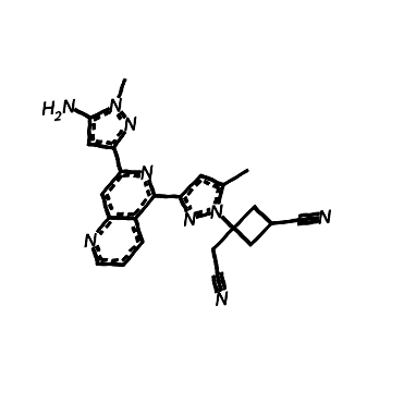 Cc1cc(-c2nc(-c3cc(N)n(C)n3)cc3ncccc23)nn1C1(CC#N)CC(C#N)C1